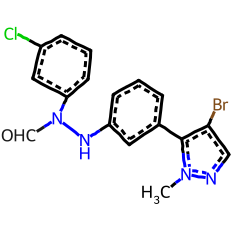 Cn1ncc(Br)c1-c1cccc(NN(C=O)c2cccc(Cl)c2)c1